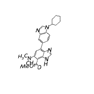 COC(=O)c1c(N(C)C)cc(-c2ccc3c(c2)ncn3C2CCCCC2)c2nc[nH]c12